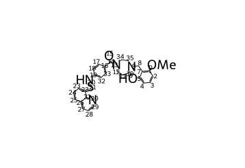 COc1cccc(O)c1CN1CCCN(C(=O)c2ccc(NSc3cccc4cccnc34)cc2)CC1